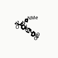 CNC1CC(n2cc(C(=O)N(C)C)c3ccc(N4CCN(c5ccc(S(C)(=O)=O)cc5)CC4)nc32)C1